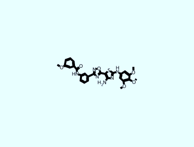 COc1cccc(C(=O)Nc2cccc(-c3noc(-c4sc(Nc5cc(OC)c(OC)c(OC)c5)nc4N)n3)c2)c1